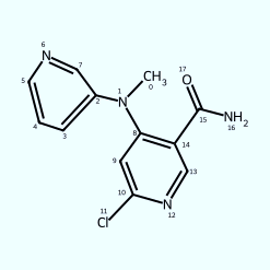 CN(c1cccnc1)c1cc(Cl)ncc1C(N)=O